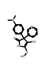 CCCSC1=C(C#N)C(c2ccc(N(C)C)cc2)(c2cccnc2)C(=O)N1